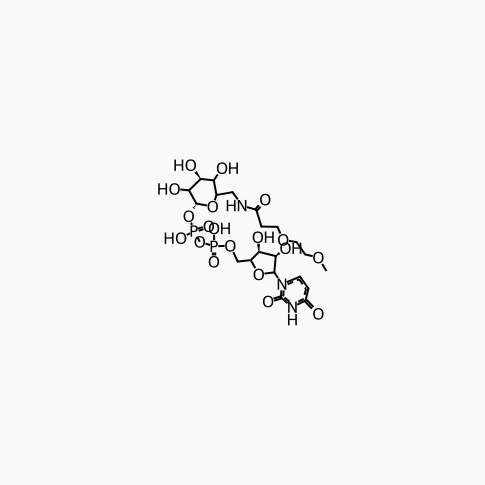 COCCOCCC(=O)NCC1O[C@H](OP(=O)(O)OP(=O)(O)OCC2OC(n3ccc(=O)[nH]c3=O)[C@H](O)[C@@H]2O)C(O)[C@@H](O)C1O